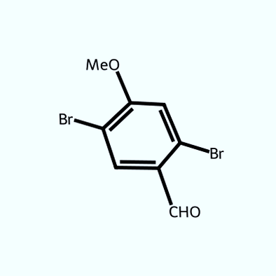 COc1cc(Br)c(C=O)cc1Br